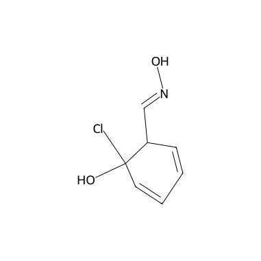 O/N=C/C1C=CC=CC1(O)Cl